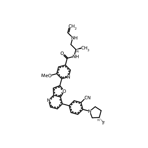 C=CNC[C@@H](C)NC(=O)c1cnc(-c2cc3nccc(-c4ccc(N5CC[C@H](F)C5)c(C#N)c4)c3o2)c(OC)c1